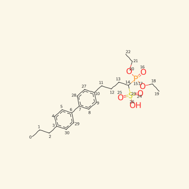 CCCc1ccc(-c2ccc(CCCC(P(=O)(OCC)OCC)S(=O)(=O)O)cc2)cc1